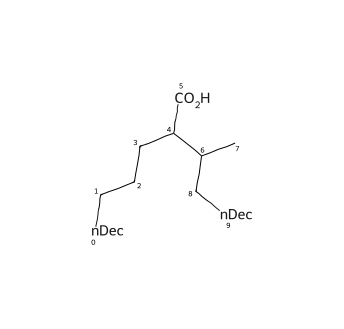 CCCCCCCCCCCCCC(C(=O)O)C(C)CCCCCCCCCCC